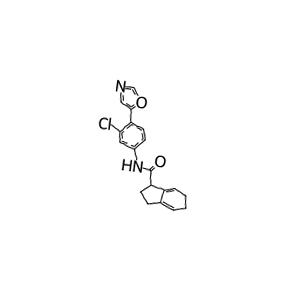 O=C(Nc1ccc(-c2cnco2)c(Cl)c1)C1CCC2=CCCC=C21